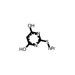 CCCSc1nc(O)cc(O)n1